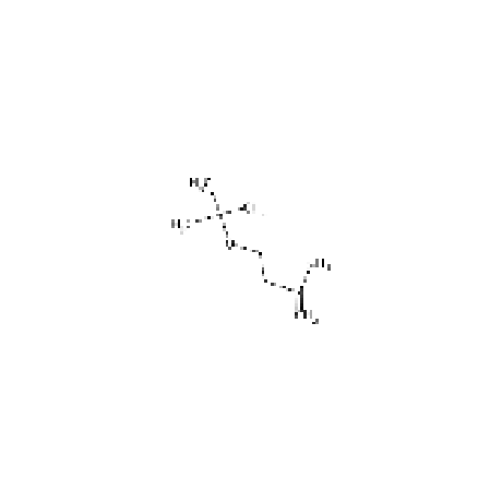 C=C(C)CCOC(C)(C)C